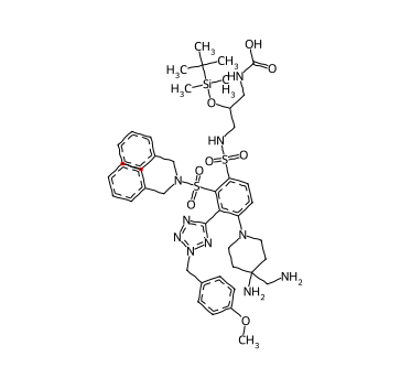 COc1ccc(Cn2nnc(-c3c(N4CCC(N)(CN)CC4)ccc(S(=O)(=O)NCC(CNC(=O)O)O[Si](C)(C)C(C)(C)C)c3S(=O)(=O)N(Cc3ccccc3)Cc3ccccc3)n2)cc1